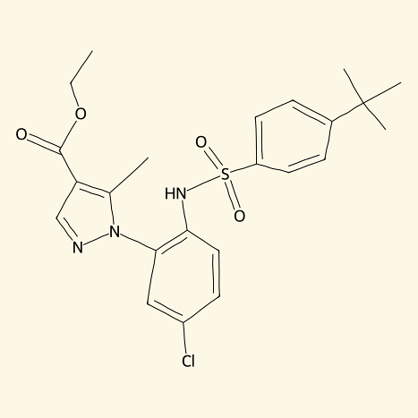 CCOC(=O)c1cnn(-c2cc(Cl)ccc2NS(=O)(=O)c2ccc(C(C)(C)C)cc2)c1C